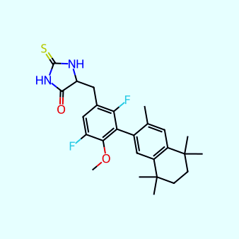 COc1c(F)cc(CC2NC(=S)NC2=O)c(F)c1-c1cc2c(cc1C)C(C)(C)CCC2(C)C